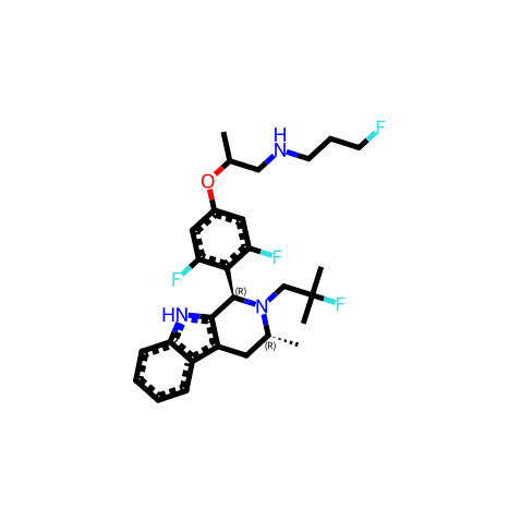 CC(CNCCCF)Oc1cc(F)c([C@@H]2c3[nH]c4ccccc4c3C[C@@H](C)N2CC(C)(C)F)c(F)c1